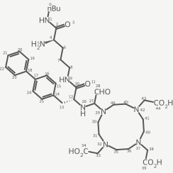 CCCCNC(=O)[C@H](N)CCCNC(=O)[C@@H](Cc1ccc(-c2ccccc2)cc1)NC(C=O)N1CCN(CC(=O)O)CCN(CC(=O)O)CCN(CC(=O)O)CC1